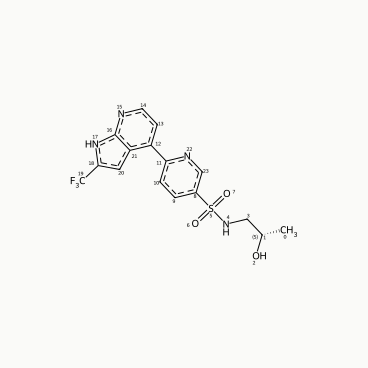 C[C@H](O)CNS(=O)(=O)c1ccc(-c2ccnc3[nH]c(C(F)(F)F)cc23)nc1